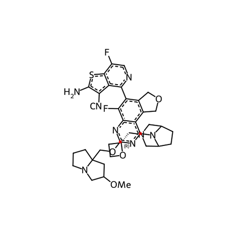 COC1CN2CCCC2(COc2nc(N3C4CCC3CN(C[C@H]3CCO3)C4)c3c4c(c(-c5ncc(F)c6sc(N)c(C#N)c56)c(F)c3n2)COC4)C1